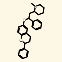 CN1CCCCC1CC(Oc1ccc2c(c1)CCC(c1ccccc1)O2)c1ccccc1